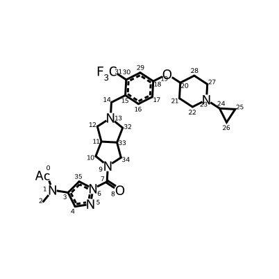 CC(=O)N(C)c1cnn(C(=O)N2CC3CN(Cc4ccc(OC5CCN(C6CC6)CC5)cc4C(F)(F)F)CC3C2)c1